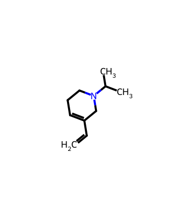 C=CC1=CCCN(C(C)C)C1